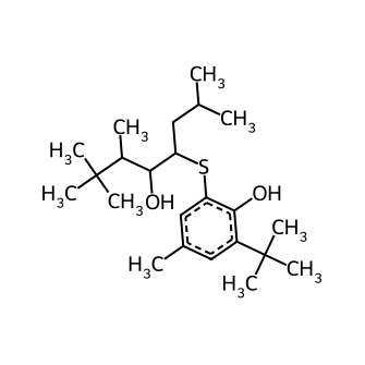 Cc1cc(SC(CC(C)C)C(O)C(C)C(C)(C)C)c(O)c(C(C)(C)C)c1